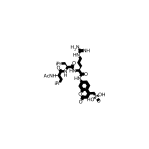 CC(=O)N[C@@H](CC(C)C)C(=O)N[C@@H](CC(C)C)C(=O)N[C@@H](CCCNC(=N)N)C(=O)Nc1ccc2c(CP(=O)(O)O)cc(=O)oc2c1